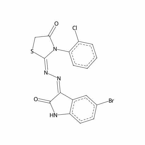 O=C1Nc2ccc(Br)cc2C1=NN=C1SCC(=O)N1c1ccccc1Cl